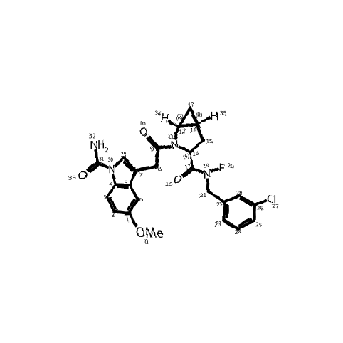 COc1ccc2c(c1)c(CC(=O)N1[C@@H]3C[C@@H]3C[C@H]1C(=O)N(F)Cc1cccc(Cl)c1)cn2C(N)=O